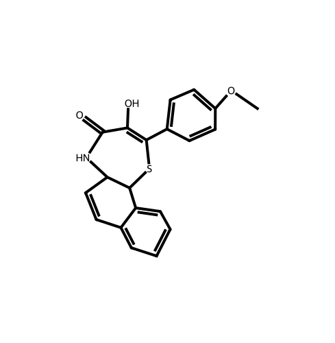 COc1ccc(C2=C(O)C(=O)NC3C=Cc4ccccc4C3S2)cc1